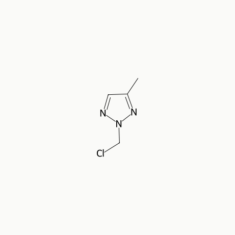 Cc1cnn(CCl)n1